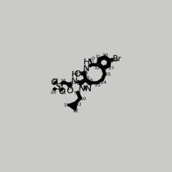 C[C@@H]1NC(=O)c2c(nn(CCC3CC3)c2NC(=O)CS(C)(=O)=O)CCCc2cc(Br)ccc21